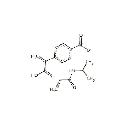 C=C(C(=O)O)c1ccc([N+](=O)[O-])cc1.C=CC(=O)NC(C)C